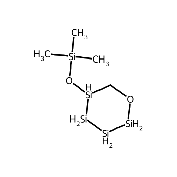 C[Si](C)(C)O[SiH]1CO[SiH2][SiH2][SiH2]1